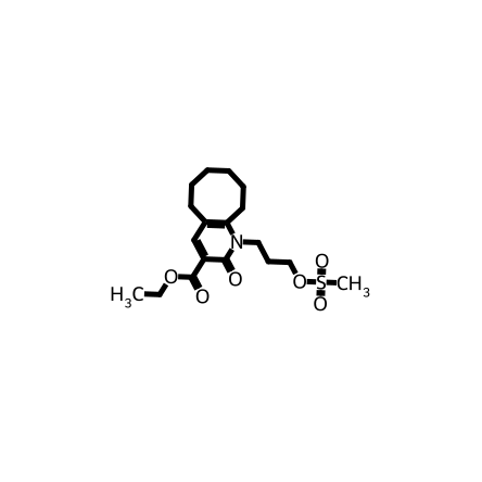 CCOC(=O)c1cc2c(n(CCCOS(C)(=O)=O)c1=O)CCCCCC2